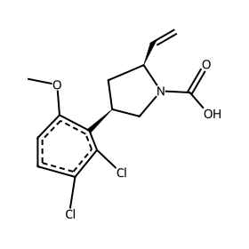 C=C[C@@H]1C[C@H](c2c(OC)ccc(Cl)c2Cl)CN1C(=O)O